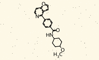 COC1CCC(NC(=O)c2ccc(-c3nccc4occc34)cc2)CC1